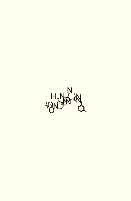 Cc1cccc(Cn2cc(-c3nn([C@H]4CCCN(C(=O)OC(C)(C)C)CC4)c(N)c3C#N)c(C)n2)c1